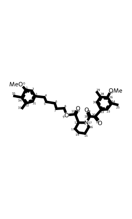 COc1cc(CCCCCOC(=O)C2CCCCN2C(=O)C(=O)c2cc(C)c(OC)c(C)c2)cc(C)c1C